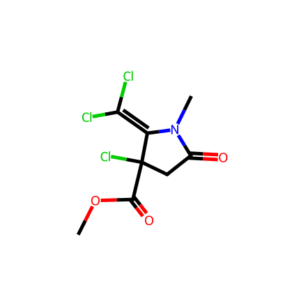 COC(=O)C1(Cl)CC(=O)N(C)C1=C(Cl)Cl